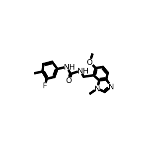 COc1ccc2ncn(C)c2c1CNC(=O)Nc1ccc(C)c(F)c1